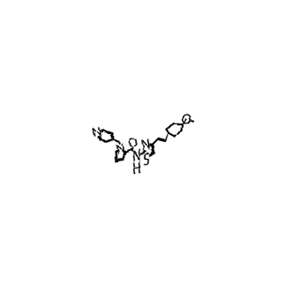 CO[C@H]1CC[C@@H](/C=C/c2csc(NC(=O)c3cccn3Cc3ccncc3)n2)CC1